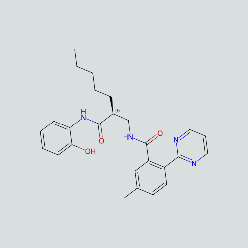 CCCCC[C@@H](CNC(=O)c1cc(C)ccc1-c1ncccn1)C(=O)Nc1ccccc1O